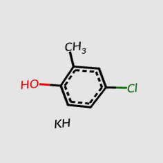 Cc1cc(Cl)ccc1O.[KH]